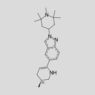 C[C@H]1CC=C(c2ccc3nn(C4CC(C)(C)N(C)C(C)(C)C4)cc3c2)NC1